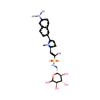 CCCN(CCC)c1ccc2cc(-c3ccc(/C=C(\C#N)S(=O)(=O)NC[C@H]4OC(O)[C@H](O)[C@@H](O)[C@@H]4O)n3C)ccc2c1